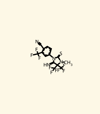 CN1C(=S)N(c2ccc(C#N)c(C(F)(F)F)c2)C(=N)C1(C(F)(F)F)C(F)(F)F